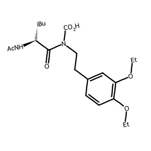 CCOc1ccc(CCN(C(=O)O)C(=O)[C@@H](NC(C)=O)[C@@H](C)CC)cc1OCC